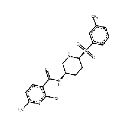 O=C(N[C@@H]1CC[C@H](S(=O)(=O)c2cccc(C(F)(F)F)c2)NC1)c1ccc(C(F)(F)F)nc1Cl